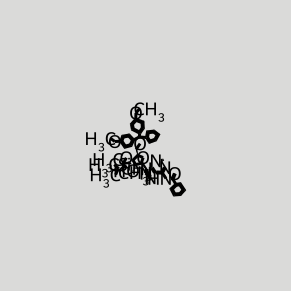 COc1ccc(C(OC[C@H]2O[C@@H](n3nnc4c(NC(=O)c5ccccc5)ncnc43)[C@H](O)[C@@H]2O[Si](C)(C)C(C)(C)C)(c2ccccc2)c2ccc(OC)cc2)cc1